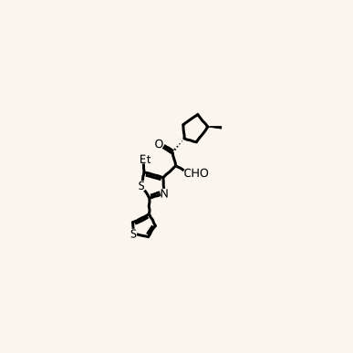 CCc1sc(-c2ccsc2)nc1C(C=O)C(=O)[C@@H]1CC[C@@H](C)C1